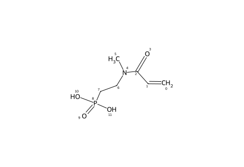 C=CC(=O)N(C)CCP(=O)(O)O